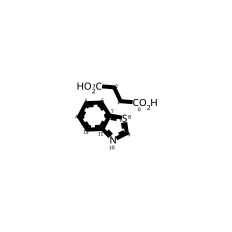 O=C(O)CCC(=O)O.c1ccc2scnc2c1